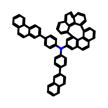 c1ccc2cc(-c3ccc(N(c4ccc(-c5ccc6c(ccc7ccccc76)c5)cc4)c4cc5ccc6cccc7c8cccc9ccc%10cccc(c(c4)c5c67)c%10c98)cc3)ccc2c1